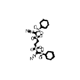 [N-]=[N+]=C(S(=O)(=O)CCS(=O)(=O)C(=[N+]=[N-])S(=O)(=O)C1CCCCC1)S(=O)(=O)C1CCCCC1